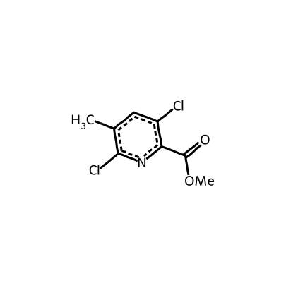 COC(=O)c1nc(Cl)c(C)cc1Cl